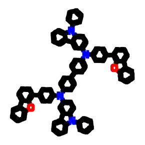 c1ccc(-n2c3ccccc3c3cc(N(c4ccc(-c5ccc(N(c6ccc(-c7cccc8c7oc7ccccc78)cc6)c6ccc7c(c6)c6ccccc6n7-c6ccccc6)cc5)cc4)c4ccc(-c5cccc6c5oc5ccccc56)cc4)ccc32)cc1